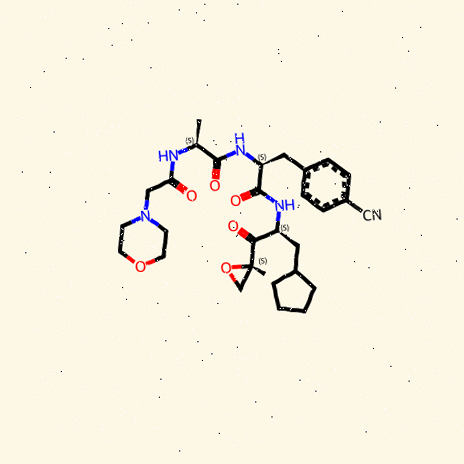 C[C@H](NC(=O)CN1CCOCC1)C(=O)N[C@@H](Cc1ccc(C#N)cc1)C(=O)N[C@@H](CC1CCCC1)C(=O)[C@]1(C)CO1